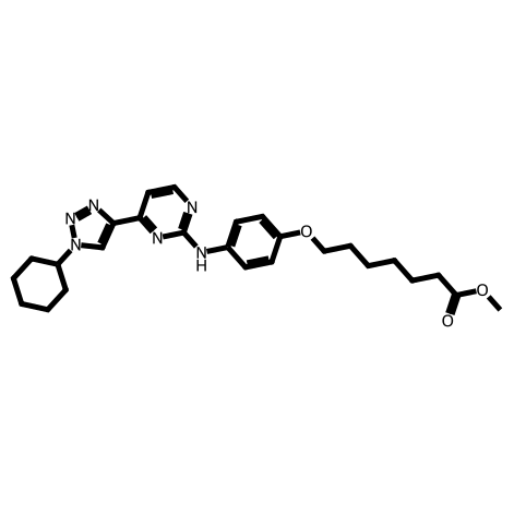 COC(=O)CCCCCCOc1ccc(Nc2nccc(-c3cn(C4CCCCC4)nn3)n2)cc1